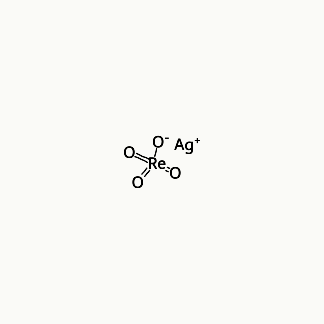 [Ag+].[O]=[Re](=[O])(=[O])[O-]